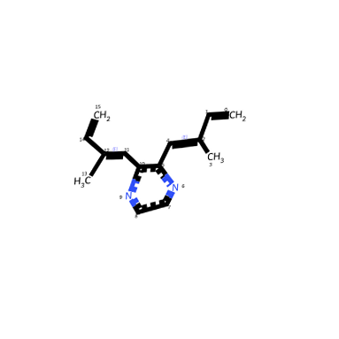 C=C/C(C)=C/c1nccnc1/C=C(\C)C=C